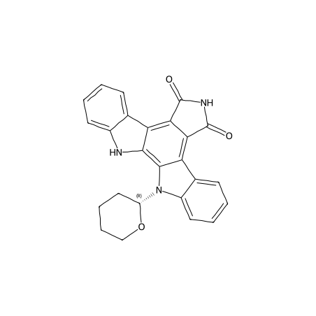 O=C1NC(=O)c2c1c1c3ccccc3[nH]c1c1c2c2ccccc2n1[C@H]1CCCCO1